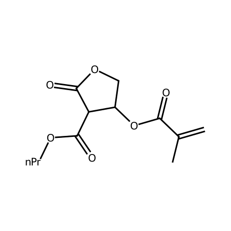 C=C(C)C(=O)OC1COC(=O)C1C(=O)OCCC